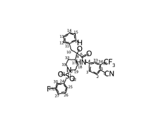 N#Cc1ccc(NC(=O)C(O)(Cc2ccccc2)C2CCN(S(=O)(=O)c3cccc(F)c3)CC2)cc1C(F)(F)F